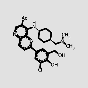 CC(=O)c1cnc2ccc(-c3cc(Cl)c(O)c(CO)c3)nc2c1N[C@H]1CC[C@H](CN(C)C)CC1